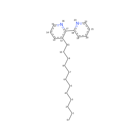 CCCCCCCCCCCCc1cccnc1-c1ccccn1